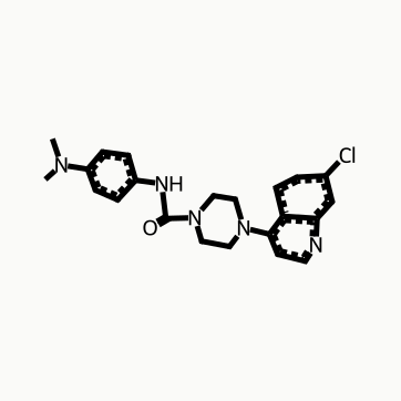 CN(C)c1ccc(NC(=O)N2CCN(c3ccnc4cc(Cl)ccc34)CC2)cc1